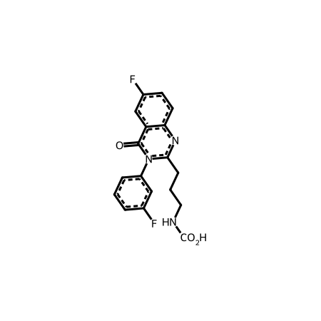 O=C(O)NCCCc1nc2ccc(F)cc2c(=O)n1-c1cccc(F)c1